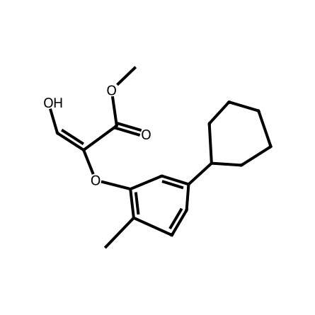 COC(=O)C(=CO)Oc1cc(C2CCCCC2)ccc1C